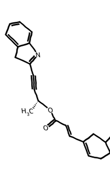 CC1CCC=C(/C=C/C(=O)O[C@H](C)C#CC2=Nc3ccccc3C2)C1